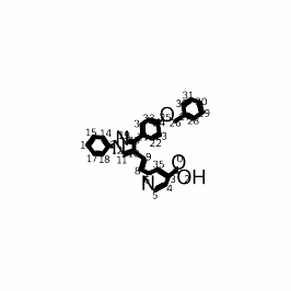 O=C(O)c1ccnc(C=Cc2cn(-c3ccccc3)nc2-c2ccc(OCc3ccccc3)cc2)c1